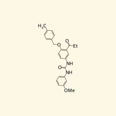 CCC(=O)c1cc(NC(=O)Nc2cccc(OC)c2)ccc1OCc1ccc(C)cc1